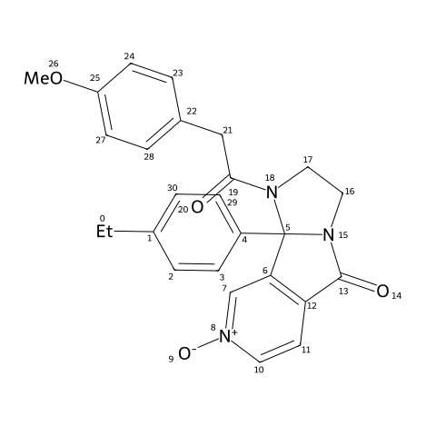 CCc1ccc(C23c4c[n+]([O-])ccc4C(=O)N2CCN3C(=O)Cc2ccc(OC)cc2)cc1